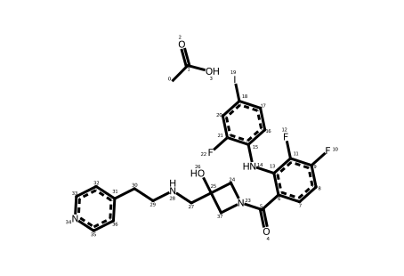 CC(=O)O.O=C(c1ccc(F)c(F)c1Nc1ccc(I)cc1F)N1CC(O)(CNCCc2ccncc2)C1